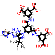 CC(C)(C)c1nn(-c2cc(C(=O)Nc3cc(C(=O)O)cc(C(=O)O)c3)cc(C(=O)Nc3cc(C(=O)O)cc(C(=O)O)c3)c2)c(N)c1N=Nc1ncns1